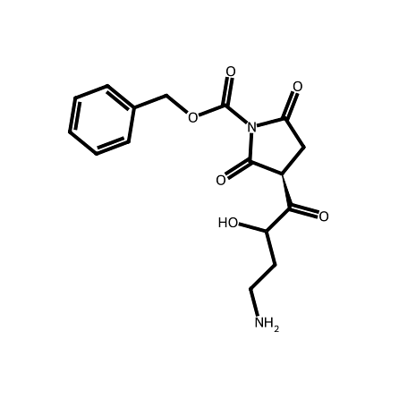 NCCC(O)C(=O)[C@@H]1CC(=O)N(C(=O)OCc2ccccc2)C1=O